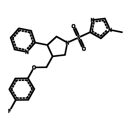 Cn1cnc(S(=O)(=O)N2CC(COc3ccc(F)cc3)C(c3ccccn3)C2)c1